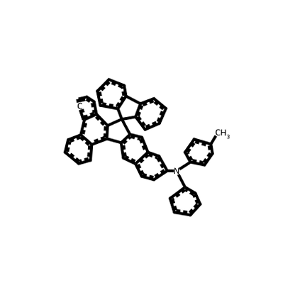 Cc1ccc(N(c2ccccc2)c2ccc3cc4c(cc3c2)C2(c3ccccc3-c3ccccc32)c2c-4c3ccccc3c3ccccc23)cc1